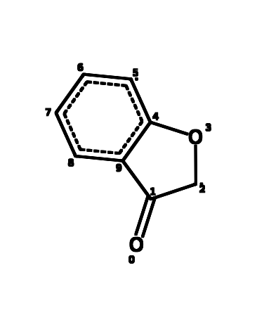 O=C1[CH]Oc2[c]cccc21